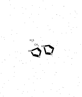 C.S.c1c[nH]cn1.c1c[nH]cn1